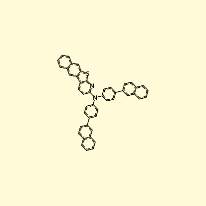 c1ccc2cc(-c3ccc(N(c4ccc(-c5ccc6ccccc6c5)cc4)c4ccc5c(n4)sc4cc6ccccc6cc45)cc3)ccc2c1